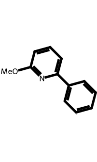 COc1cccc(-c2c[c]ccc2)n1